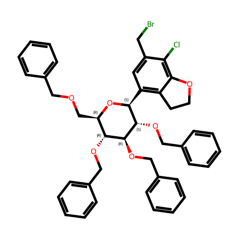 Clc1c(CBr)cc([C@@H]2O[C@H](COCc3ccccc3)[C@@H](OCc3ccccc3)[C@H](OCc3ccccc3)[C@H]2OCc2ccccc2)c2c1OCC2